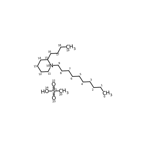 CCCCCCCCCCN1CCCCC1CCCC.CS(=O)(=O)O